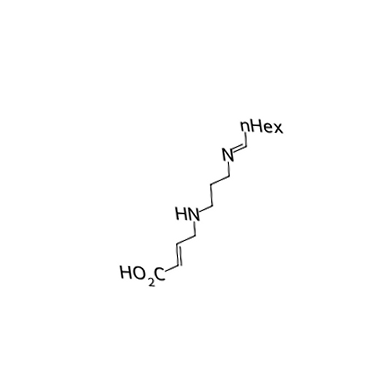 CCCCCCC=NCCCNCC=CC(=O)O